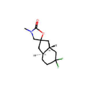 CN1CC2(C[C@@H]3CCC(F)(F)C[C@H]3C2)OC1=O